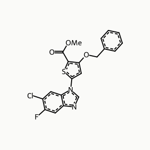 COC(=O)c1sc(-n2cnc3cc(F)c(Cl)cc32)cc1OCc1ccccc1